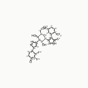 OC[C@H]1O[C@@H](c2n[nH]c(=S)n2-c2cc(Cl)ccc2C(F)(F)F)[C@H](O)[C@@H](n2cc(-c3ccc(Cl)c(F)c3F)nn2)[C@H]1O